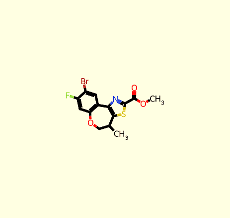 COC(=O)c1nc2c(s1)C(C)COc1cc(F)c(Br)cc1-2